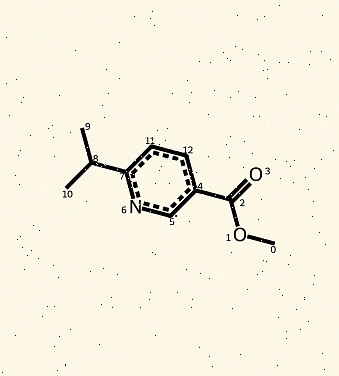 COC(=O)c1[c]nc(C(C)C)cc1